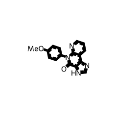 COc1ccc(-n2c(=O)c3[nH]cnc3c3cccnc32)cc1